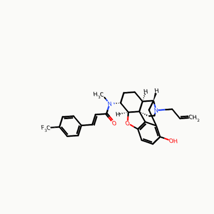 C=CCN1CC[C@@]23c4c5ccc(O)c4C[C@@H]1[C@@H]2CC[C@@H](N(C)C(=O)C=Cc1ccc(C(F)(F)F)cc1)[C@@H]3O5